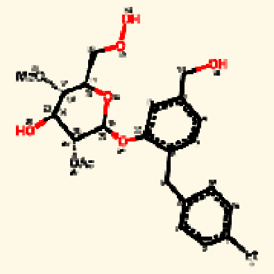 CCc1ccc(Cc2ccc(CO)cc2O[C@@H]2O[C@H](COO)[C@@H](OC)[C@H](O)[C@H]2OC(C)=O)cc1